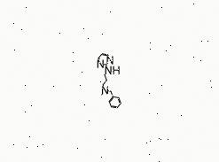 CN(CCCNc1ncccn1)Cc1ccccc1